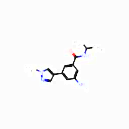 CC(C)NC(=O)c1cc(N)cc(-c2cnn(C)c2)c1